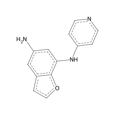 Nc1cc(Nc2ccncc2)c2occc2c1